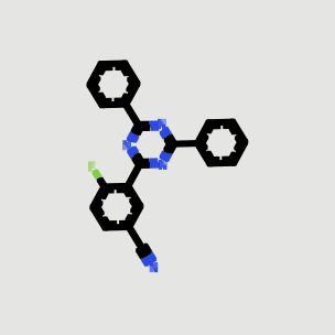 N#Cc1ccc(F)c(-c2nc(-c3ccccc3)nc(-c3ccccc3)n2)c1